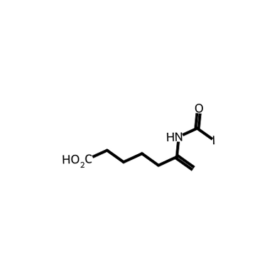 C=C(CCCCC(=O)O)NC(=O)I